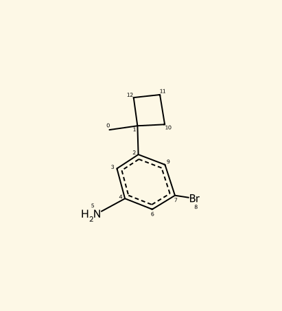 CC1(c2cc(N)cc(Br)c2)CCC1